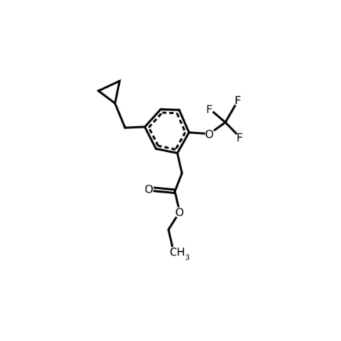 CCOC(=O)Cc1cc(CC2CC2)ccc1OC(F)(F)F